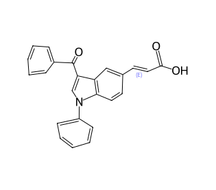 O=C(O)/C=C/c1ccc2c(c1)c(C(=O)c1ccccc1)cn2-c1ccccc1